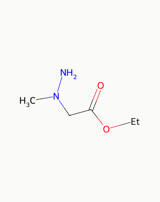 CCOC(=O)CN(C)N